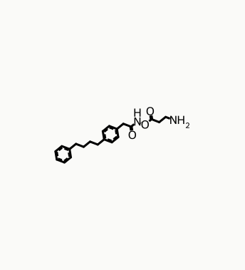 NCCC(=O)ONC(=O)Cc1ccc(CCCCc2ccccc2)cc1